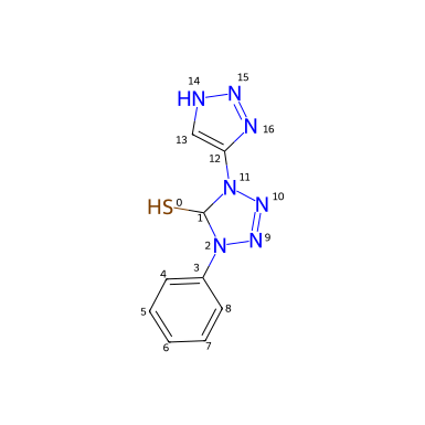 SC1N(c2ccccc2)N=NN1c1c[nH]nn1